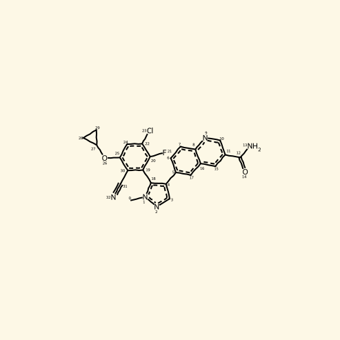 Cn1ncc(-c2ccc3ncc(C(N)=O)cc3c2)c1-c1c(F)c(Cl)cc(OC2CC2)c1C#N